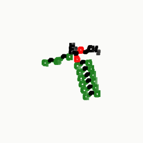 CCOC(C)=O.ClCCl.ClCCl.ClCCl.ClCCl.ClCCl.ClCCl.ClCCl.ClCCl